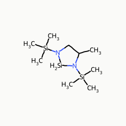 CC1CN([Si](C)(C)C)[SiH2]N1[Si](C)(C)C